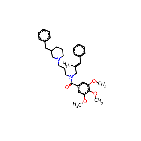 COc1cc(C(=O)N(CCCN2CCCC(Cc3ccccc3)C2)CC(C)=Cc2ccccc2)cc(OC)c1OC